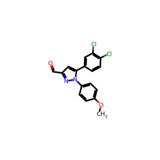 COc1ccc(-n2nc(C=O)cc2-c2ccc(Cl)c(Cl)c2)cc1